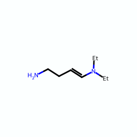 CCN(C=CCCN)CC